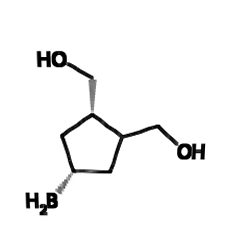 B[C@H]1CC(CO)[C@@H](CO)C1